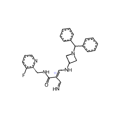 N=C/C(=C\NC1CN(C(c2ccccc2)c2ccccc2)C1)C(=O)NCc1ncccc1F